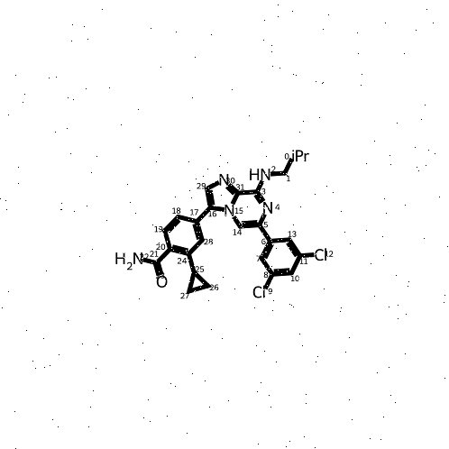 CC(C)CNc1nc(-c2cc(Cl)cc(Cl)c2)cn2c(-c3ccc(C(N)=O)c(C4CC4)c3)cnc12